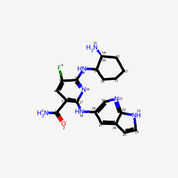 NC(=O)c1cc(F)c(NC2CCCC[C@@H]2N)nc1Nc1cnc2[nH]ccc2c1